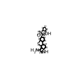 Cc1cc(S(=O)(=O)N(C)C2CCCC2O)ccc1-c1ccc2[nH]nc(N)c2c1C